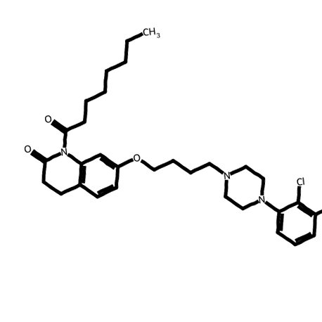 CCCCCCCC(=O)N1C(=O)CCc2ccc(OCCCCN3CCN(c4cccc(Cl)c4Cl)CC3)cc21